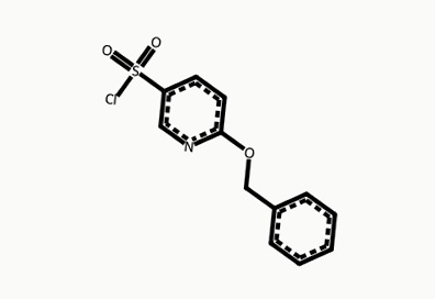 O=S(=O)(Cl)c1ccc(OCc2ccccc2)nc1